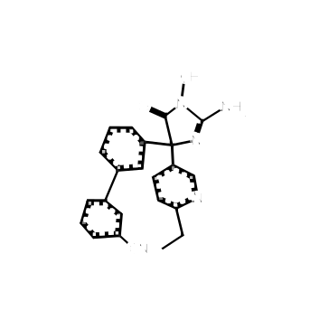 CN1C(=O)C(c2ccc(CF)nc2)(c2cccc(-c3cccc(C#N)c3)c2)N=C1N